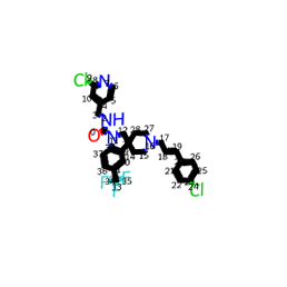 O=C(NCc1ccnc(Cl)c1)N1CC2(CCN(C/C=C/c3ccc(Cl)cc3)CC2)c2cc(C(F)(F)F)ccc21